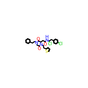 O=C(CC1C(=O)N(CCc2ccccc2)CC(=O)N1CCc1cccs1)NC(Cl)Cc1ccc(Cl)cc1